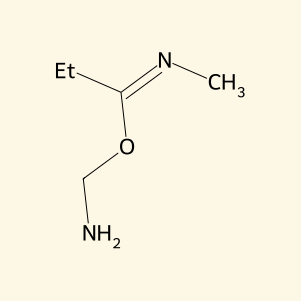 CC/C(=N/C)OCN